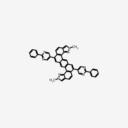 Cn1cc2ccc3c(-c4cnc(-c5ccccc5)nc4)cc4cc5c(cc(-c6cnc(-c7ccccc7)nc6)c6ccc7cn(C)nc7c65)cc4c3c2n1